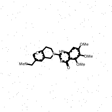 CNCc1ccc2c(c1)CN(c1nc(=O)c3c(OC)c(OC)c(OC)cc3[nH]1)CC2